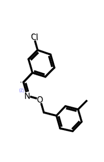 Cc1cccc(CO/N=[C]\c2cccc(Cl)c2)c1